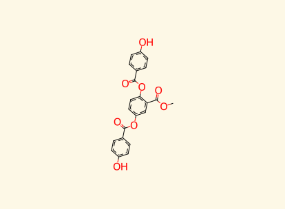 COC(=O)c1cc(OC(=O)c2ccc(O)cc2)ccc1OC(=O)c1ccc(O)cc1